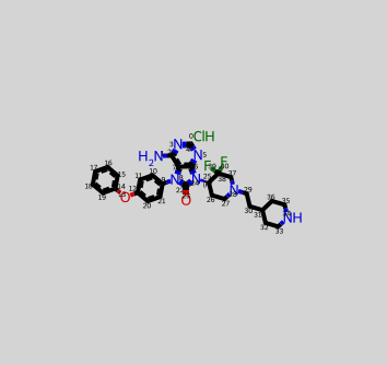 Cl.Nc1ncnc2c1n(-c1ccc(Oc3ccccc3)cc1)c(=O)n2[C@@H]1CCN(CCC2CCNCC2)CC1(F)F